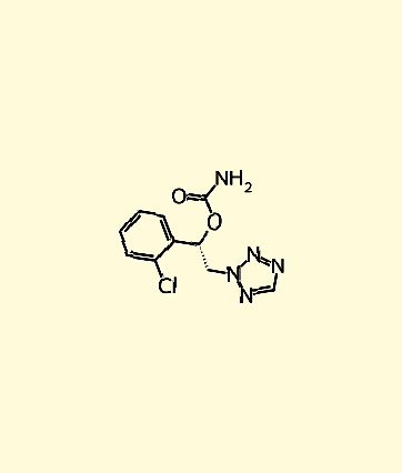 NC(=O)O[C@H](Cn1ncnn1)c1ccccc1Cl